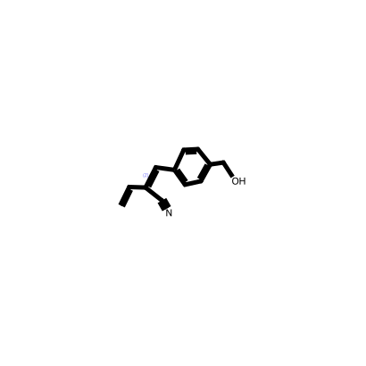 C=C/C(C#N)=C/c1ccc(CO)cc1